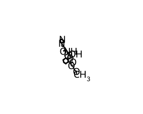 COCCOC(=O)c1cccc2c1OB(O)C(NC(=O)CCn1ccnc1)C2